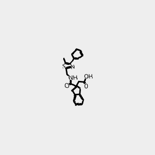 Cc1sc(CNC(=O)C2(CC(=O)O)Cc3ccccc3C2)nc1-c1ccccc1